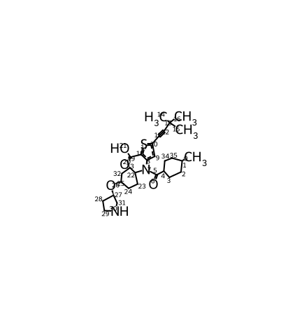 CC1CCC(C(=O)N(c2cc(C#CC(C)(C)C)sc2C(=O)O)C2CCC(O[C@@H]3CCNC3)CC2)CC1